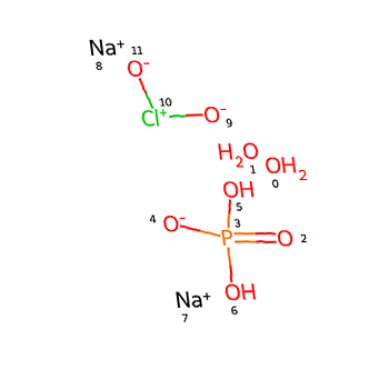 O.O.O=P([O-])(O)O.[Na+].[Na+].[O-][Cl+][O-]